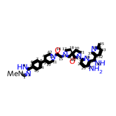 CN/C=N\C(=N)c1ccc(C2=CCN(C(=O)CN3CC[C@]4(CCN(c5ccc(N)c(C(=N)c6ccc(C)nc6)n5)C4=O)C3)CC2)cc1